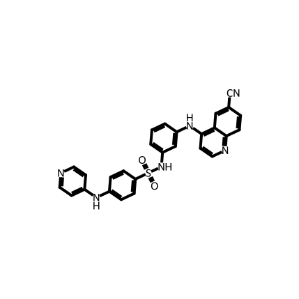 N#Cc1ccc2nccc(Nc3cccc(NS(=O)(=O)c4ccc(Nc5ccncc5)cc4)c3)c2c1